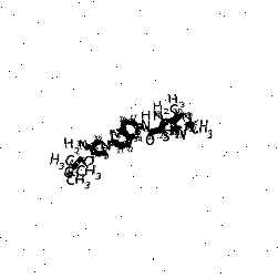 COC(C)(C)COC1CN(c2ccc3c(n2)CCC(NC(=O)c2sc4nc(C)nc(C)c4c2N)C3)CC1N